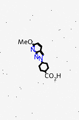 COc1ccc2cn(C3CCC(C(=O)O)CC3)nc2n1